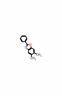 Cc1cc2nc(-c3c[c]ccc3)oc2cc1C